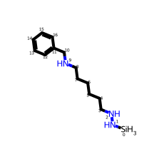 [SiH3]NNCCCCCCNCc1ccccc1